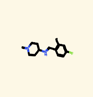 Cc1cc(F)ccc1CNC1CCN(C)CC1